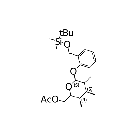 CC(=O)OCC1O[C@@H](Oc2ccccc2CO[Si](C)(C)C(C)(C)C)C(C)[C@@H](C)[C@H]1C